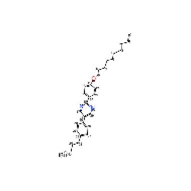 C=CCCCCCCCCOc1ccc(-c2ncc(-c3ccc(CCC[C@@H](C)CC)cc3)cn2)cc1